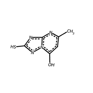 Cc1cc(O)n2nc(S)nc2n1